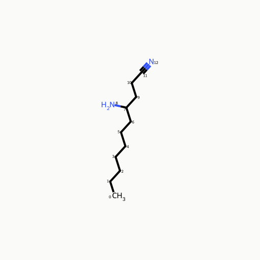 CCCCCCCC(N)CCC#N